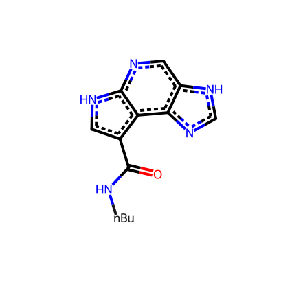 CCCCNC(=O)c1c[nH]c2ncc3[nH]cnc3c12